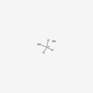 [KH].[O-][Cl+3]([O-])([O-])O